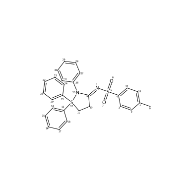 Cc1ccc(S(=O)(=O)N=C2CCS(c3ccccc3)(c3ccccc3)N2c2ccccc2)cc1